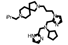 CC(C)CN1CCC2(CC1)CCN(CCCn1ccnc1CN(Cc1ncc[nH]1)C1CCCC1)C2